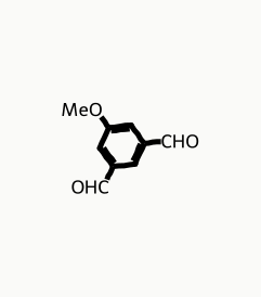 COc1cc(C=O)cc(C=O)c1